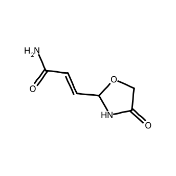 NC(=O)C=CC1NC(=O)CO1